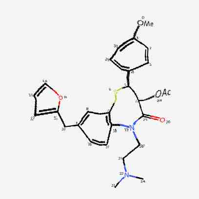 COc1ccc(C2Sc3cc(Cc4ccco4)ccc3N(CCN(C)C)C(=O)C2OC(C)=O)cc1